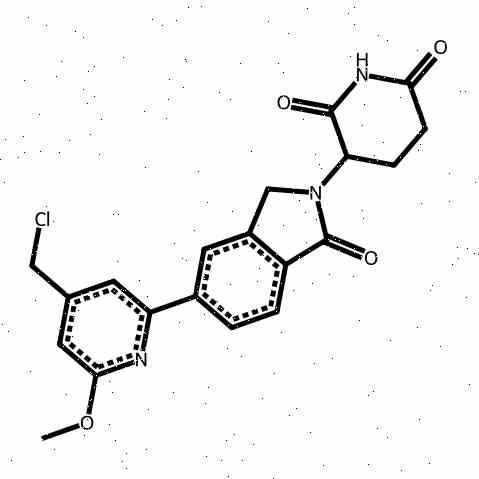 COc1cc(CCl)cc(-c2ccc3c(c2)CN(C2CCC(=O)NC2=O)C3=O)n1